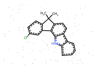 CC1(C)c2ccc(Cl)cc2-c2c1ccc1c2[nH]c2ccccc21